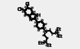 CCN(CC)CCN(CCN(CC)CC)c1ccc(-c2nc3cc(Cl)c(Cl)cc3[nH]2)cc1